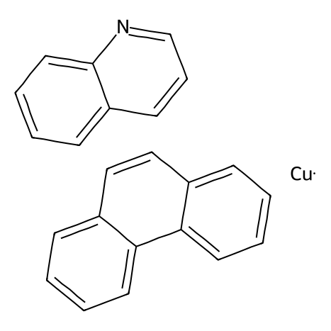 [Cu].c1ccc2c(c1)ccc1ccccc12.c1ccc2ncccc2c1